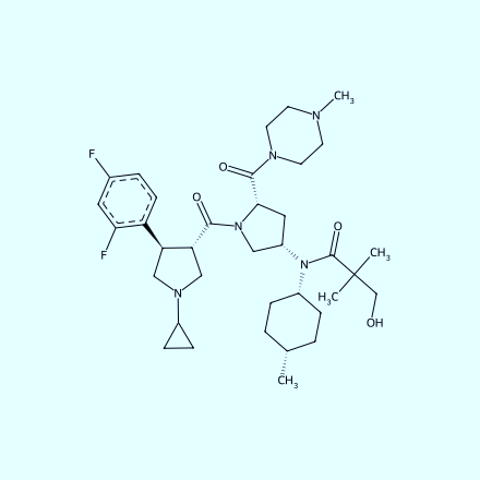 CN1CCN(C(=O)[C@@H]2C[C@H](N(C(=O)C(C)(C)CO)[C@H]3CC[C@@H](C)CC3)CN2C(=O)[C@@H]2CN(C3CC3)C[C@H]2c2ccc(F)cc2F)CC1